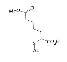 COC(=O)CCCCC(SC(C)=O)C(=O)O